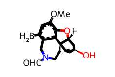 Bc1cc(OC)c2c3c1CN(C=O)CC[C@@]31C=C[C@H](O)C[C@H]1O2